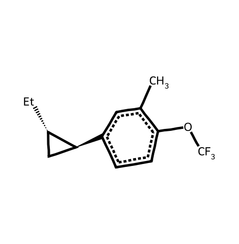 CC[C@H]1C[C@@H]1c1ccc(OC(F)(F)F)c(C)c1